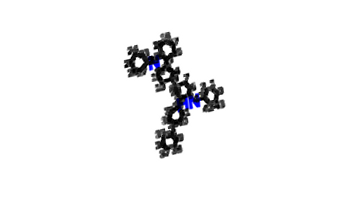 c1ccc(Nc2ccc(-c3ccc4c(c3)c3ccccc3n4-c3ccccc3)cc2-c2ccc(-c3ccccc3)cc2)cc1